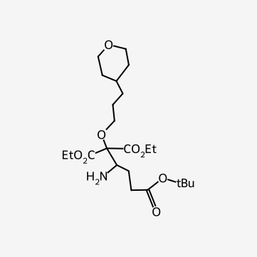 CCOC(=O)C(OCCCC1CCOCC1)(C(=O)OCC)C(N)CCC(=O)OC(C)(C)C